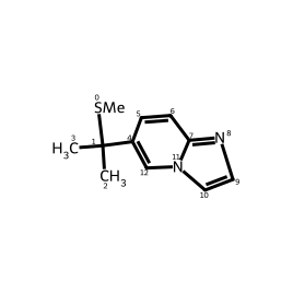 CSC(C)(C)c1ccc2nccn2c1